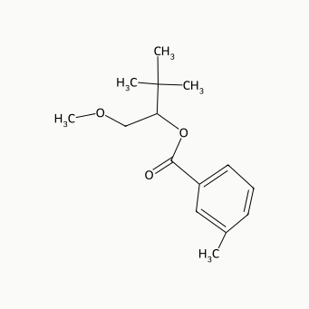 COCC(OC(=O)c1cccc(C)c1)C(C)(C)C